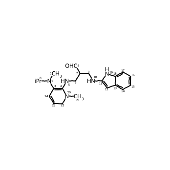 CC(C)N(C)C1=C(NCC(C=O)CNc2cc3ccccc3[nH]2)N(C)CC=C1